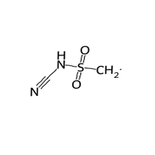 [CH2]S(=O)(=O)NC#N